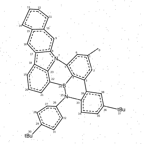 Cc1cc2c3c(c1)-n1c4cc5ccccc5cc4c4cccc(c41)B3N(c1ccc(C(C)(C)C)cc1)c1ccc(C(C)(C)C)cc1-2